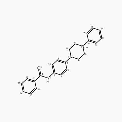 O=C(Nc1ccc(N2CCN(c3ccccc3)CC2)cc1)c1ccccc1